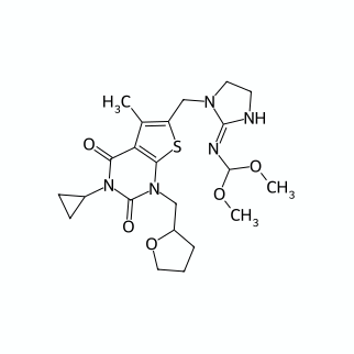 COC(/N=C1\NCCN1Cc1sc2c(c1C)c(=O)n(C1CC1)c(=O)n2CC1CCCO1)OC